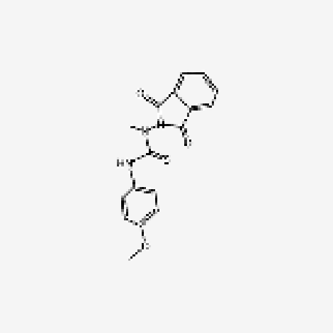 COc1ccc(NC(=S)N(C)N2C(=O)c3ccccc3C2=O)cc1